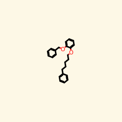 c1ccc(CCCCCOc2ccccc2OCc2ccccc2)cc1